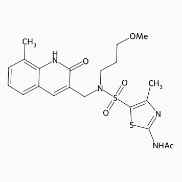 COCCCN(Cc1cc2cccc(C)c2[nH]c1=O)S(=O)(=O)c1sc(NC(C)=O)nc1C